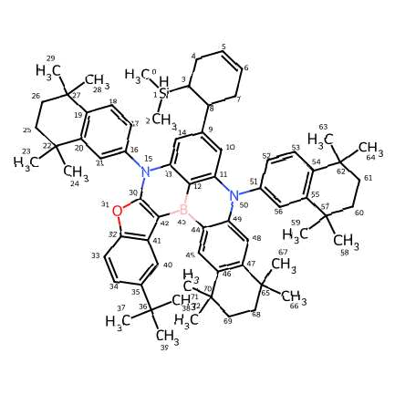 C[SiH](C)C1CC=CCC1c1cc2c3c(c1)N(c1ccc4c(c1)C(C)(C)CCC4(C)C)c1oc4ccc(C(C)(C)C)cc4c1B3c1cc3c(cc1N2c1ccc2c(c1)C(C)(C)CCC2(C)C)C(C)(C)CCC3(C)C